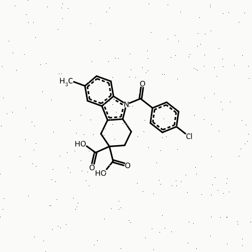 Cc1ccc2c(c1)c1c(n2C(=O)c2ccc(Cl)cc2)CCC(C(=O)O)(C(=O)O)C1